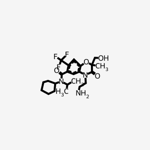 CC(C)N(C(=O)c1cc2c(cc1C(F)(F)F)OC(C)(CO)C(=O)N2CCN)C1CCCCC1